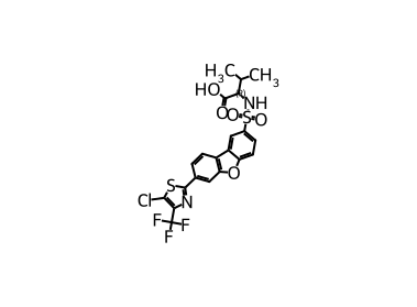 CC(C)[C@@H](NS(=O)(=O)c1ccc2oc3cc(-c4nc(C(F)(F)F)c(Cl)s4)ccc3c2c1)C(=O)O